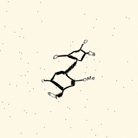 COc1cc(Cl)c(Cl)cc1-c1cc(Cl)c(Cl)cc1Cl